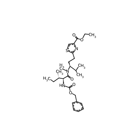 CCOC(=O)c1csc(CC[C@@H](C(C)C)N(C)C(=O)[C@@H](NC(=O)OCc2ccccc2)[C@@H](C)CC)n1